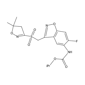 CC(C)OC(=O)Nc1cc2c(CS(=O)(=O)C3=NOC(C)(C)C3)noc2cc1F